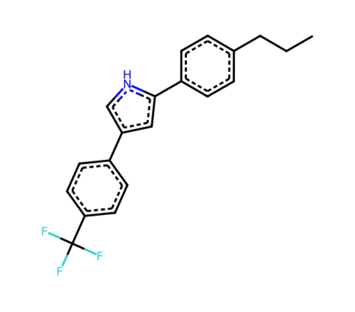 CCCc1ccc(-c2cc(-c3ccc(C(F)(F)F)cc3)c[nH]2)cc1